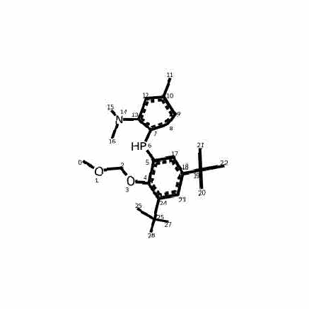 COCOc1c(Pc2ccc(C)cc2N(C)C)cc(C(C)(C)C)cc1C(C)(C)C